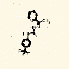 CC(=NNC(=S)Nc1ccc(C(F)(F)F)cc1)c1ccccn1